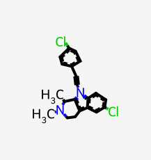 CC1c2c(c3cc(Cl)ccc3n2C#Cc2ccc(Cl)cc2)CCN1C